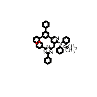 C[Si]1(C)c2ccccc2N(c2ncc(-c3cc(-c4ccccc4)cc(-c4ccccc4)c3)cc2Cc2nc(-c3ccccc3)nc(-c3ccccc3)n2)c2ccccc21